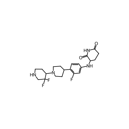 O=C1CCC(Nc2ccc(C3CCN(C4CCNCC4(F)F)CC3)c(F)c2)C(=O)N1